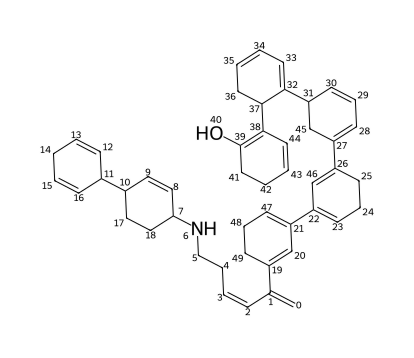 C=C(/C=C\CCNC1C=CC(C2C=CCC=C2)CC1)C1=CC(C2=CCCC(C3=CC=CC(C4=CC=CCC4C4=C(O)CCC=C4)C3)=C2)=CCC1